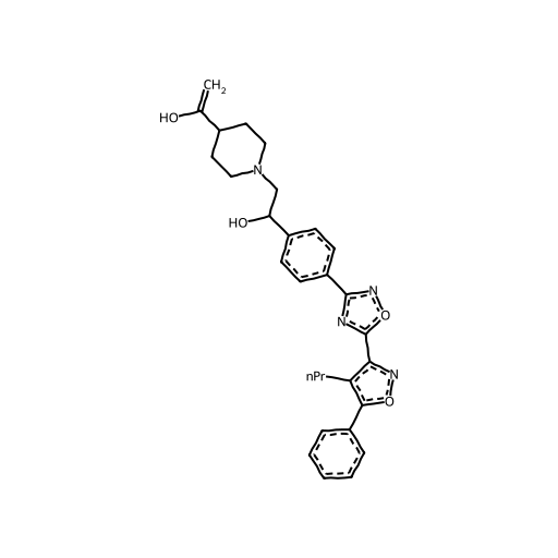 C=C(O)C1CCN(CC(O)c2ccc(-c3noc(-c4noc(-c5ccccc5)c4CCC)n3)cc2)CC1